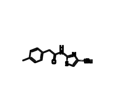 Cc1ccc(CC(=O)Nc2nc(C(C)(C)C)cs2)cc1